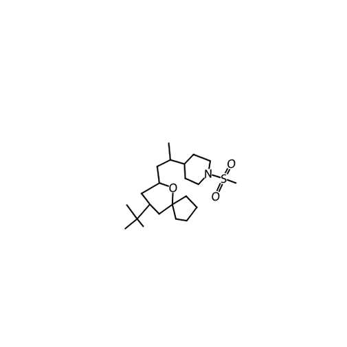 CC(CC1CC(C(C)(C)C)CC2(CCCC2)O1)C1CCN(S(C)(=O)=O)CC1